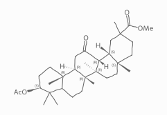 COC(=O)C1(C)CC[C@]2(C)CC[C@]3(C)[C@H](C(=O)C[C@@H]4[C@@]5(C)CC[C@H](OC(C)=O)C(C)(C)C5CC[C@]43C)[C@@H]2C1